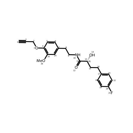 C#CCOc1ccc(CCNC(=O)[C@H](O)CCc2ccc(F)cc2)cc1OC